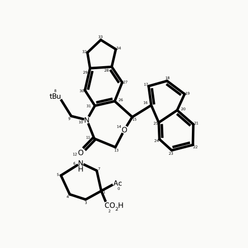 CC(=O)C1(C(=O)O)CCCNC1.CC(C)(C)CN1C(=O)COC(c2cccc3ccccc23)c2cc3c(cc21)CCC3